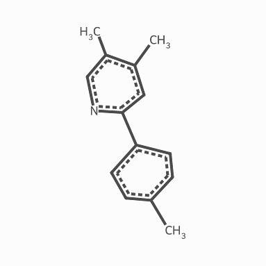 Cc1ccc(-c2cc(C)c(C)cn2)cc1